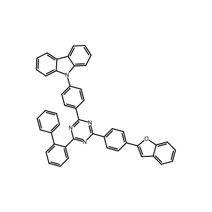 c1ccc(-c2ccccc2-c2nc(-c3ccc(-c4cc5ccccc5o4)cc3)nc(-c3ccc(-n4c5ccccc5c5ccccc54)cc3)n2)cc1